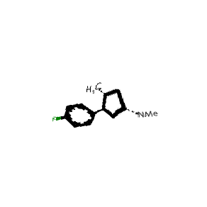 CN[C@H]1C[C@@H](C)[C@H](c2ccc(F)cc2)C1